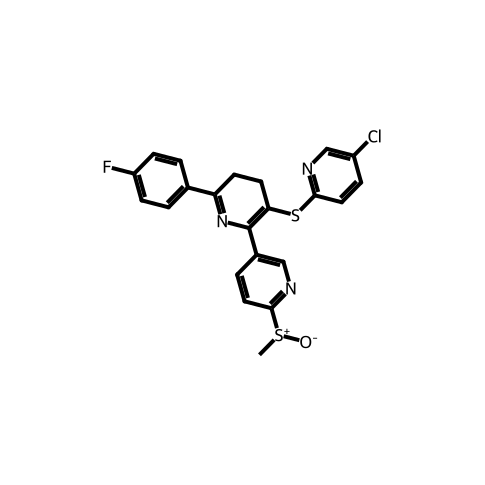 C[S+]([O-])c1ccc(C2=C(Sc3ccc(Cl)cn3)CCC(c3ccc(F)cc3)=N2)cn1